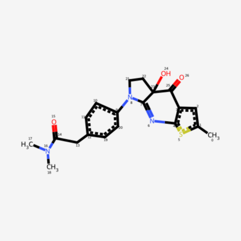 Cc1cc2c(s1)N=C1N(c3ccc(CC(=O)N(C)C)cc3)CCC1(O)C2=O